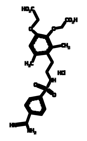 Cc1cc(OCC(=O)O)c(OCC(=O)O)c(C)c1CCNS(=O)(=O)c1ccc(C(=N)N)cc1.Cl